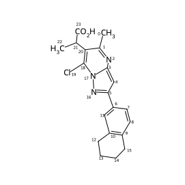 Cc1nc2cc(-c3ccc4c(c3)CCCC4)nn2c(Cl)c1C(C)C(=O)O